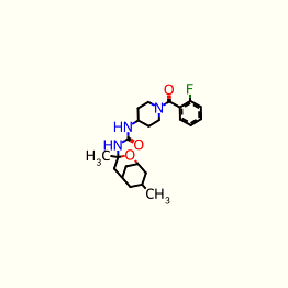 CC1CC2CC(C1)OC(C)(NC(=O)NC1CCN(C(=O)c3ccccc3F)CC1)C2